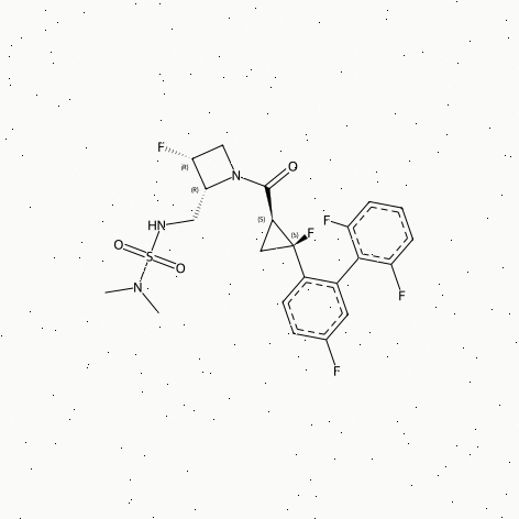 CN(C)S(=O)(=O)NC[C@@H]1[C@H](F)CN1C(=O)[C@@H]1C[C@@]1(F)c1ccc(F)cc1-c1c(F)cccc1F